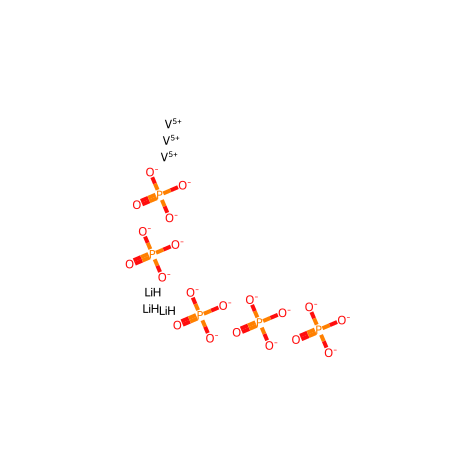 O=P([O-])([O-])[O-].O=P([O-])([O-])[O-].O=P([O-])([O-])[O-].O=P([O-])([O-])[O-].O=P([O-])([O-])[O-].[LiH].[LiH].[LiH].[V+5].[V+5].[V+5]